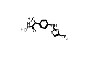 C[C@H](C(=O)NO)c1ccc(Nc2nc(C(F)(F)F)cs2)cc1